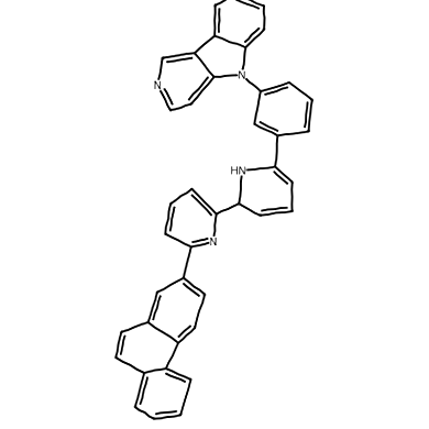 C1=CC(c2cccc(-c3ccc4c(ccc5ccccc54)c3)n2)NC(c2cccc(-n3c4ccccc4c4cnccc43)c2)=C1